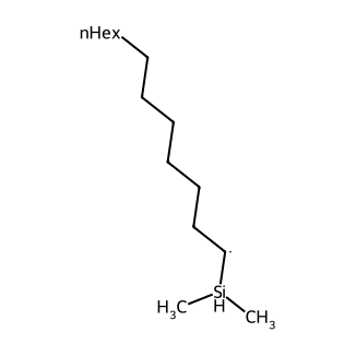 CCCCCCCCCCCC[CH][SiH](C)C